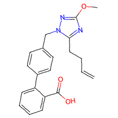 C=CCCc1nc(OC)nn1Cc1ccc(-c2ccccc2C(=O)O)cc1